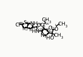 CCOC(=O)C(C)(O)c1cnc(NC(=O)c2cc3cc(Cl)sc3[nH]2)c(OCC)c1